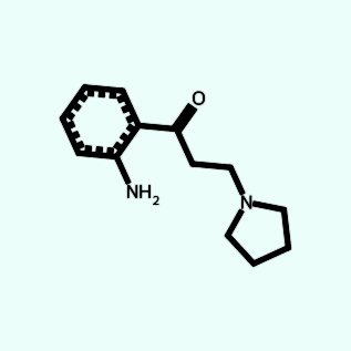 Nc1ccccc1C(=O)CCN1CCCC1